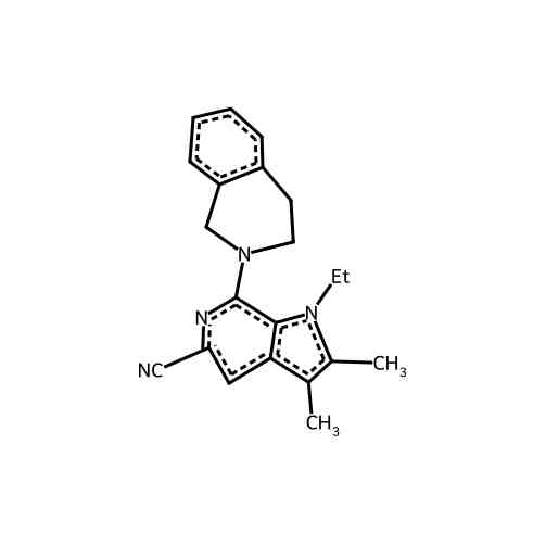 CCn1c(C)c(C)c2cc(C#N)nc(N3CCc4ccccc4C3)c21